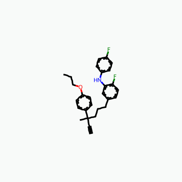 C#CC(C)(CCCc1ccc(F)c(Nc2ccc(F)cc2)c1)c1ccc(OCCC)cc1